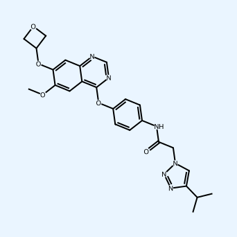 COc1cc2c(Oc3ccc(NC(=O)Cn4cc(C(C)C)nn4)cc3)ncnc2cc1OC1COC1